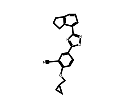 N#Cc1cc(-c2nc(-c3cccc4c3CCC4)no2)ccc1OCC1CC1